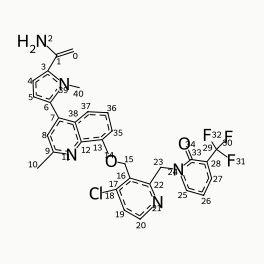 C=C(N)c1ccc(-c2cc(C)nc3c(OCc4c(Cl)ccnc4Cn4cccc(C(F)(F)F)c4=O)cccc23)n1C